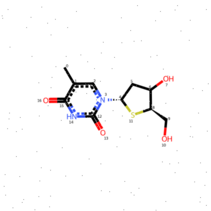 Cc1cn([C@@H]2CC(O)[C@@H](CO)S2)c(=O)[nH]c1=O